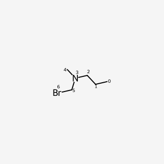 CCCN(C)CBr